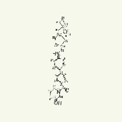 O=C(c1ccc(-c2ccc(NCC3CCN(CC4(C(F)(F)F)CCC4)CC3)cc2)cc1)N1CCC[C@@H](O)C1